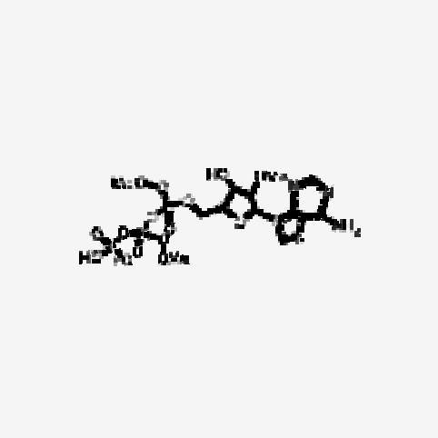 COOP(=O)(OCC1OC(n2cnc3c(N)ncnc32)C(OC)C1O)OP(=O)(OOC)OP(=O)(O)O